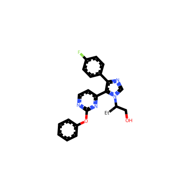 CCC(CO)n1cnc(-c2ccc(F)cc2)c1-c1ccnc(Oc2ccccc2)n1